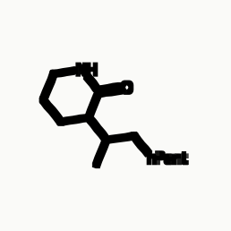 CCCCCCC(C)C1CCCNC1=O